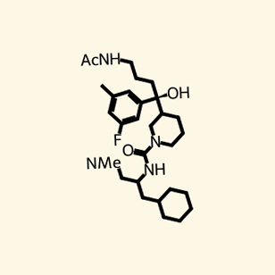 CNCC(CC1CCCCC1)NC(=O)N1CCCC([C@@](O)(CCCNC(C)=O)c2cc(C)cc(F)c2)C1